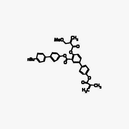 C=C(C)C(=O)Oc1ccc(-c2ccc(OC(=O)C(=C)COC)c(C(=O)Oc3ccc(-c4ccc(CCCC)cc4)cc3)c2)cc1